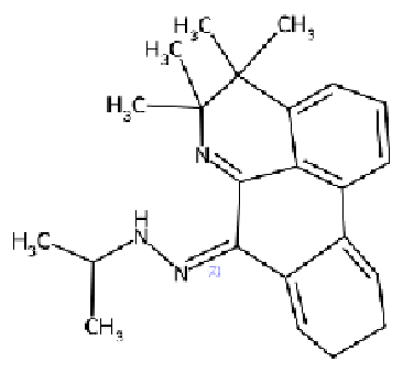 CC(C)N/N=C1/C2=CCCC=C2c2cccc3c2C1=NC(C)(C)C3(C)C